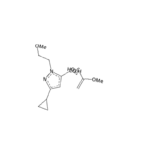 C=C(OC)C(=O)O.COCCn1nc(C2CC2)cc1C(=O)O